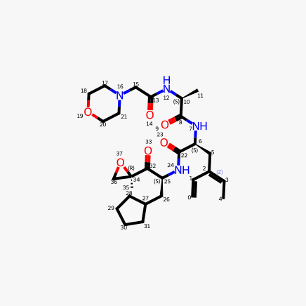 C=C/C(=C\C)C[C@H](NC(=O)[C@H](C)NC(=O)CN1CCOCC1)C(=O)N[C@@H](CC1CCCC1)C(=O)[C@@]1(C)CO1